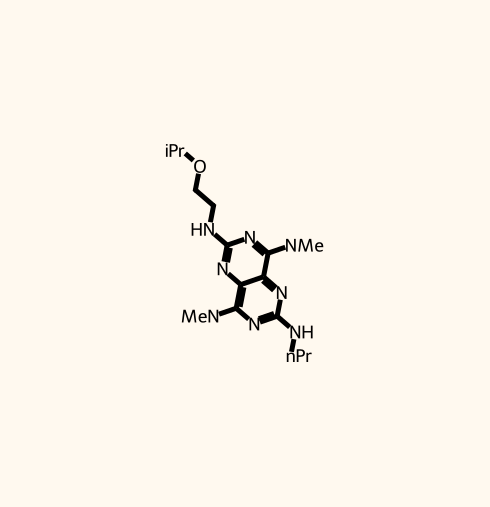 CCCNc1nc(NC)c2nc(NCCOC(C)C)nc(NC)c2n1